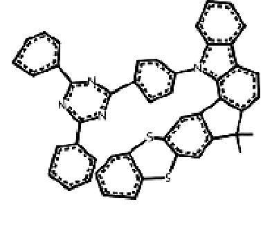 CC1(C)c2cc3c(cc2-c2c1ccc1c4ccccc4n(-c4ccc(-c5nc(-c6ccccc6)nc(-c6ccccc6)n5)cc4)c21)Sc1ccccc1S3